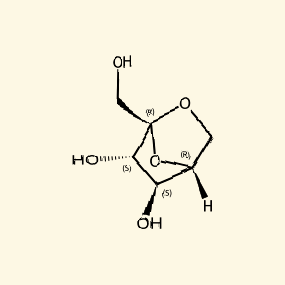 OC[C@@]12OC[C@@H](O1)[C@@H](O)[C@@H]2O